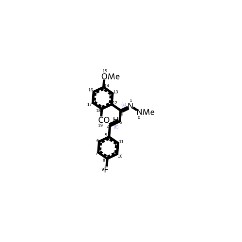 CN/N=C(\C=C\c1ccc(F)cc1)c1cc(OC)ccc1C(=O)O